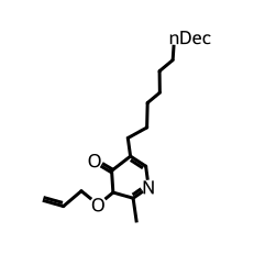 C=CCOC1C(=O)C(CCCCCCCCCCCCCCCC)=CN=C1C